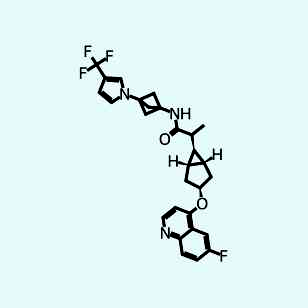 CC(C(=O)NC12CC(n3ccc(C(F)(F)F)c3)(C1)C2)[C@H]1[C@@H]2C[C@@H](Oc3ccnc4ccc(F)cc34)C[C@@H]21